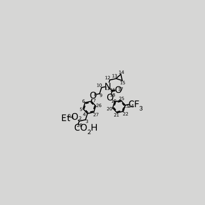 CCOC(Cc1ccc(OCCN(CC2CC2)C(=O)Oc2cccc(C(F)(F)F)c2)cc1)C(=O)O